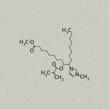 C=C(C)C(=O)OC(CCCCCCCC(=O)OC)C(CCCCCCCC)N1C=CN(C)C1